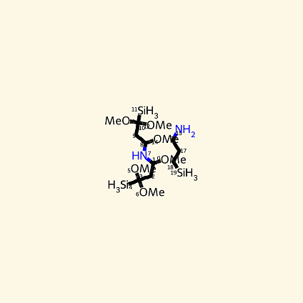 COC(CC([SiH3])(OC)OC)NC(CC([SiH3])(OC)OC)OC.NCCC[SiH3]